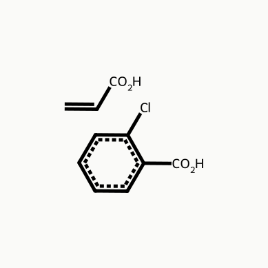 C=CC(=O)O.O=C(O)c1ccccc1Cl